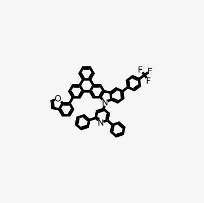 FC(F)(F)c1ccc(-c2ccc3c(c2)c2cc4c5ccccc5c5ccc(-c6cccc7ccoc67)cc5c4cc2n3-c2cc(-c3ccccc3)nc(-c3ccccc3)c2)cc1